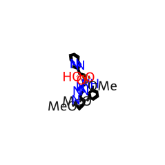 COc1cccc(-c2nnc(NS(=O)(=O)C[C@H](O)c3cn4ccccc4n3)n2-c2c(OC)cccc2OC)n1